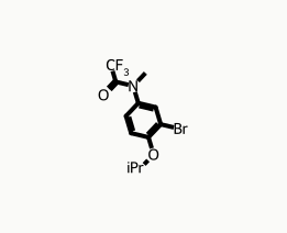 CC(C)Oc1ccc(N(C)C(=O)C(F)(F)F)cc1Br